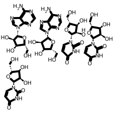 Nc1ncnc2c1ncn2[C@@H]1O[C@H](CO)[C@@H](O)[C@H]1O.Nc1ncnc2c1ncn2[C@@H]1O[C@H](CO)[C@@H](O)[C@H]1O.O=c1ccn([C@@H]2O[C@H](CO)[C@@H](O)[C@H]2O)c(=O)[nH]1.O=c1ccn([C@@H]2O[C@H](CO)[C@@H](O)[C@H]2O)c(=O)[nH]1.O=c1ccn([C@@H]2O[C@H](CO)[C@@H](O)[C@H]2O)c(=O)[nH]1